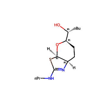 CCCC[C@@H](O)[C@H]1CC[C@H]2N=C(NCCC)S[C@H]2O1